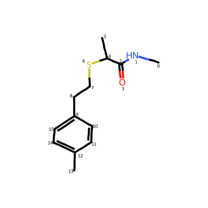 CNC(=O)C(C)SCCc1ccc(C)cc1